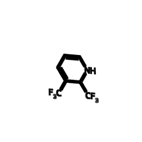 FC(F)(F)C1=CC=CNC1C(F)(F)F